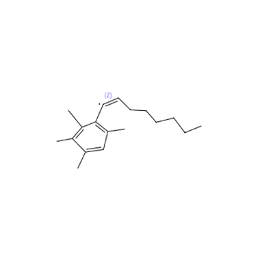 CCCCCC/C=[C]\c1c(C)cc(C)c(C)c1C